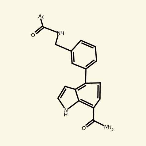 CC(=O)C(=O)NCc1cccc(-c2ccc(C(N)=O)c3[nH]ccc23)c1